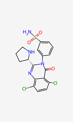 NS(=O)(=O)c1cccc(-n2c([C@@H]3CCCN3)nc3c(Cl)ccc(Cl)c3c2=O)c1